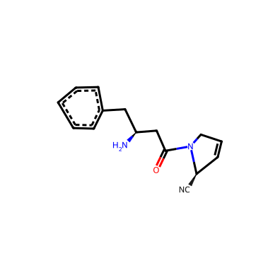 N#C[C@@H]1C=CCN1C(=O)C[C@@H](N)Cc1ccccc1